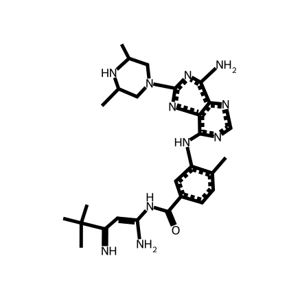 Cc1ccc(C(=O)N/C(N)=C/C(=N)C(C)(C)C)cc1Nc1ncnc2c(N)nc(N3CC(C)NC(C)C3)nc12